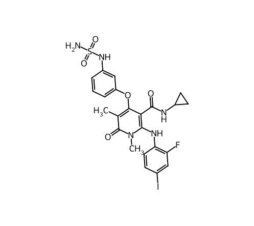 Cc1c(Oc2cccc(NS(N)(=O)=O)c2)c(C(=O)NC2CC2)c(Nc2ccc(I)cc2F)n(C)c1=O